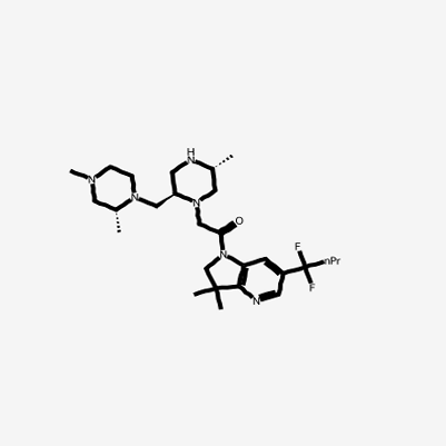 CCCC(F)(F)c1cnc2c(c1)N(C(=O)CN1C[C@@H](C)NC[C@@H]1CN1CCN(C)C[C@H]1C)CC2(C)C